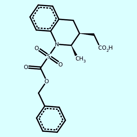 C[C@@H]1[C@H](CC(=O)O)Cc2ccccc2N1S(=O)(=O)C(=O)OCc1ccccc1